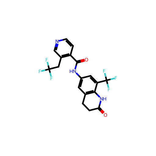 O=C1CCc2cc(NC(=O)c3ccncc3CC(F)(F)F)cc(C(F)(F)F)c2N1